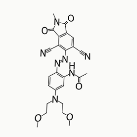 COCCN(CCOC)c1ccc(N=Nc2c(C#N)cc3c(c2C#N)C(=O)N(C)C3=O)c(NC(C)=O)c1